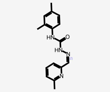 Cc1ccc(NC(=O)N/N=C\c2cccc(C)n2)c(C)c1